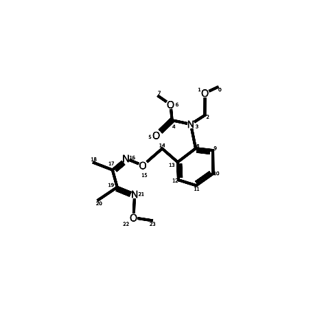 COCN(C(=O)OC)c1ccccc1CON=C(C)C(C)=NOC